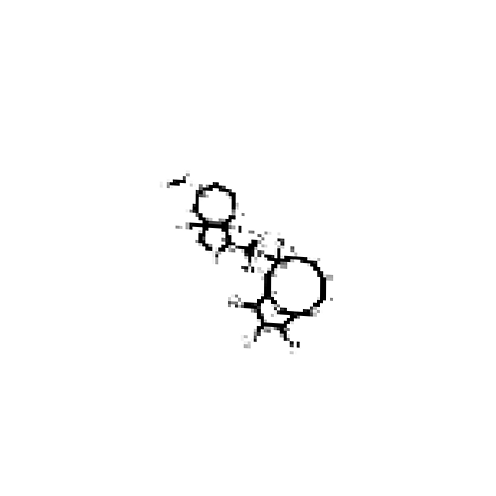 CC(C)C[C@@H]1CCO[C@@H]2[C@H](CN[C@@H]2C(=O)N[C@H]2C3OC(SCCCCC2(C)C)C(O)C(O)C3O)C1